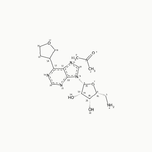 CC(C)=O.NC[C@H]1O[C@@H](n2cnc3c(C4CCOC4)ncnc32)[C@@H](O)[C@H]1O